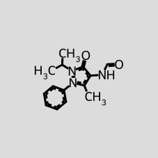 Cc1c(NC=O)c(=O)n(C(C)C)n1-c1ccccc1